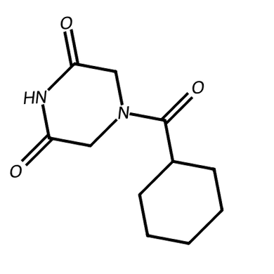 O=C1CN(C(=O)C2CCCCC2)CC(=O)N1